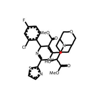 COC(=O)C1=C(CN2C3COCC2CC(C(O)C(=O)OC)C3)NC(c2nccs2)=NC1c1ccc(F)cc1Cl